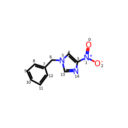 O=[N+]([O-])c1cn(Cc2ccccc2)cn1